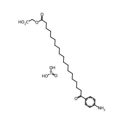 Nc1ccc(C(=O)CCCCCCCCCCCCCCCCCC(=O)OCC(=O)O)cc1.[O]=[Ti]([OH])[OH]